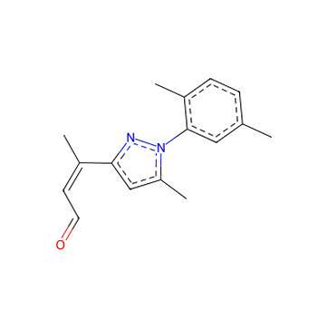 C/C(=C/C=O)c1cc(C)n(-c2cc(C)ccc2C)n1